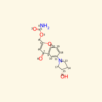 NC(=O)OCc1cc(=O)c2cc(N3CC[C@H](O)C3)ccc2o1